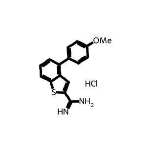 COc1ccc(-c2cccc3sc(C(=N)N)cc23)cc1.Cl